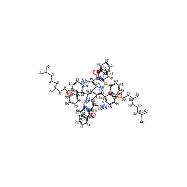 CC(C)CCCC(C)CCOc1cccc(-c2c3/c(=C(\C#N)c4nc5ccccc5o4)n(B(c4ccccc4)c4ccccc4)c(-c4cccc(OCCC(C)CCCC(C)C)c4)c3/c(=C(\C#N)c3nc4ccccc4o3)n2B(c2ccccc2)c2ccccc2)c1